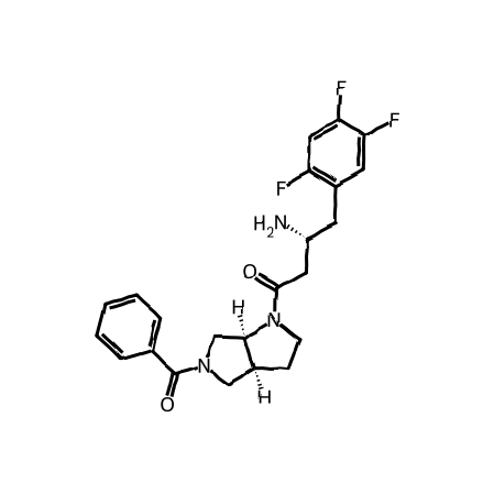 N[C@@H](CC(=O)N1CC[C@H]2CN(C(=O)c3ccccc3)C[C@H]21)Cc1cc(F)c(F)cc1F